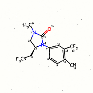 CN1C[C@H](CC(F)(F)F)N(c2ccc(C#N)c(C(F)(F)F)c2)C1=O